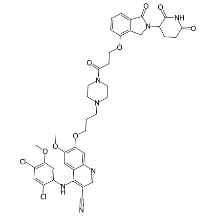 COc1cc(Nc2c(C#N)cnc3cc(OCCCN4CCN(C(=O)CCOc5cccc6c5CN(C5CCC(=O)NC5=O)C6=O)CC4)c(OC)cc23)c(Cl)cc1Cl